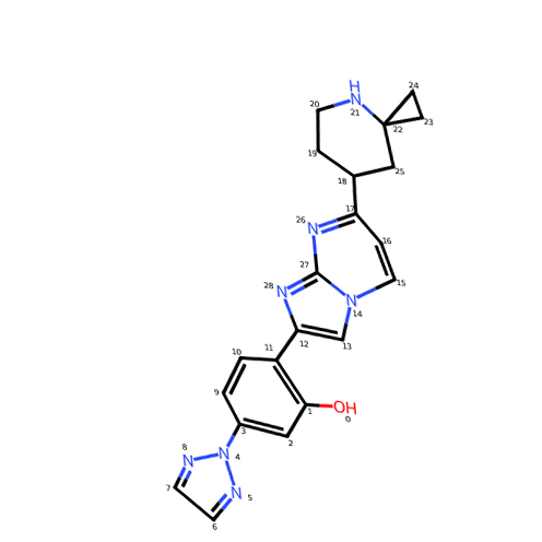 Oc1cc(-n2nccn2)ccc1-c1cn2ccc(C3CCNC4(CC4)C3)nc2n1